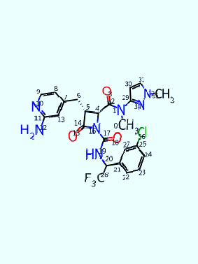 CN(C(=O)[C@@H]1[C@@H](Cc2ccnc(N)c2)C(=O)N1C(=O)NC(c1cccc(Cl)c1)C(F)(F)F)c1ccn(C)n1